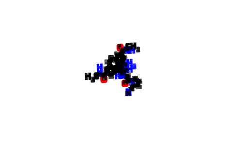 CNC(=O)c1ccc2c(c1)CCc1cc(C(=O)NC)ccc1C2(CCNCC(=O)N1CCCC1C#N)C(=N)N